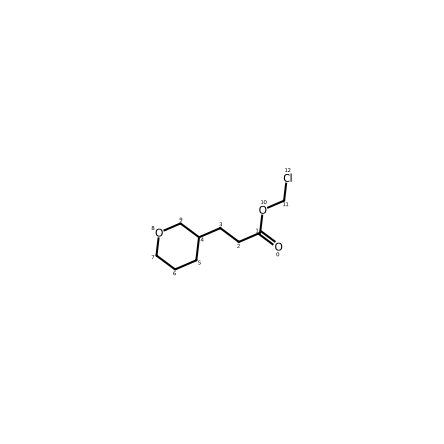 O=C(CCC1CCCOC1)OCCl